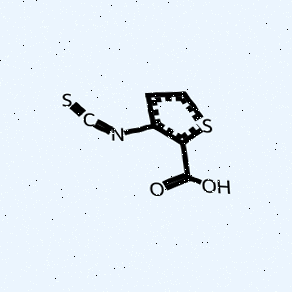 O=C(O)c1sccc1N=C=S